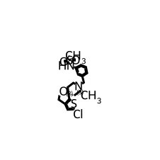 C[C@H]1C[C@@]2(CCN1Cc1cccc(NS(C)(=O)=O)c1)OCCc1cc(Cl)sc12